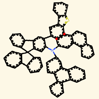 c1ccc2c(c1)-c1ccccc1C21c2ccccc2-c2cc(-c3ccc4sc5ccccc5c4c3)c(N(c3ccc4ccc5ccccc5c4c3)c3ccc4c5ccccc5c5ccccc5c4c3)cc21